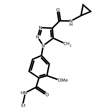 CCNC(=O)c1ccc(-n2nnc(C(=O)NC3CC3)c2C)cc1OC